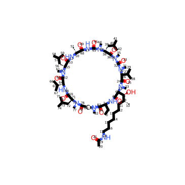 CCC1NC(=O)C([C@H](O)[C@H](C)CCCCCCCNC(C)=O)N(C)C(=O)C(C(C)C)N(C)C(=O)N(C)C(=O)[C@@H](CC(C)C)N(C)C(=O)NC(=O)[C@@H](C)NC(=O)[C@@H](CC(C)C)N(C)C(=O)[C@@H](C(C)C)NC(=O)[C@H](CC(C)C)N(C)C(=O)CN(C)C1=O